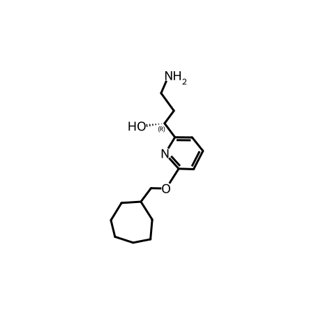 NCC[C@@H](O)c1cccc(OCC2CCCCCC2)n1